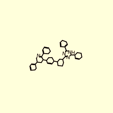 C1=CCCC(C2=NCC(C3=CC=CCC3)CC2C2C=CC(C3CCCC(C4=NC(C5C=CCCC5)NC(C5=CCCC=C5)=N4)C3)CC2)=C1